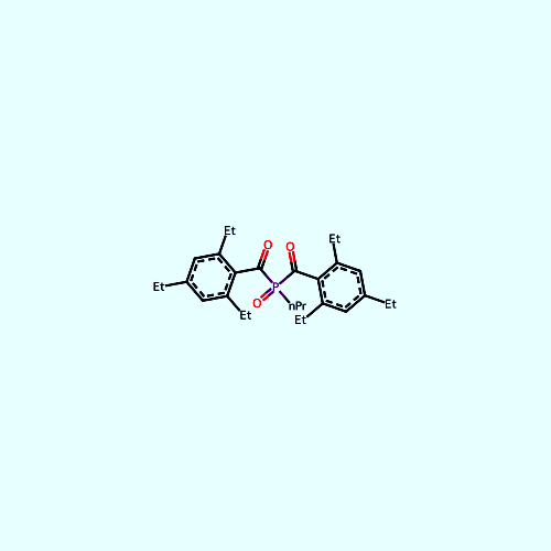 CCCP(=O)(C(=O)c1c(CC)cc(CC)cc1CC)C(=O)c1c(CC)cc(CC)cc1CC